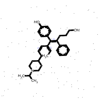 C/C=C(\C=C/CC1CCN(C(C)C)CC1)C(=C(/CCCO)c1ccccc1)/c1ccc(O)cc1